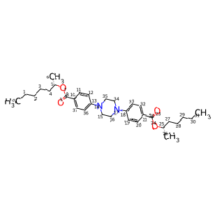 CCCCC[C@H](C)OC(=O)c1ccc(N2CCN(c3ccc(C(=O)O[C@@H](C)CCCCC)cc3)CC2)cc1